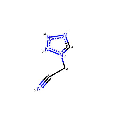 N#CCn1[c]nnn1